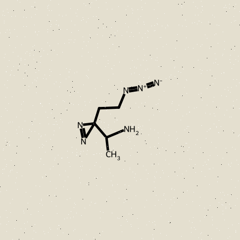 CC(N)C1(CCN=[N+]=[N-])N=N1